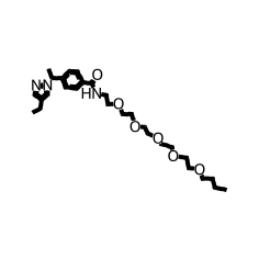 CCCCOCCOCCOCCOCCOCCNC(=O)c1ccc(C(C)n2cc(CC)cn2)cc1